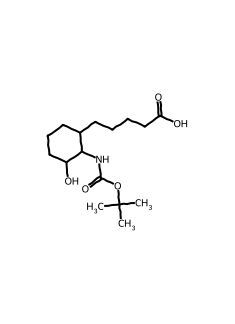 CC(C)(C)OC(=O)NC1C(O)CCCC1CCCCC(=O)O